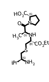 CCOC(=O)[C@H](CSC[C@@H](N)C(C)C)N[C@@H](C)C(=O)N1CCC[C@H]1C(=O)O